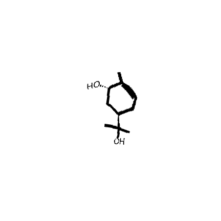 CC1=CC[C@@H](C(C)(C)O)C[C@@H]1O